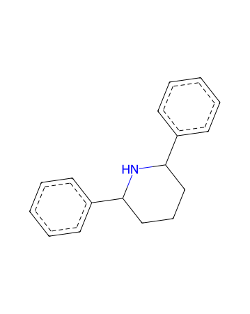 c1ccc(C2CCCC(c3ccccc3)N2)cc1